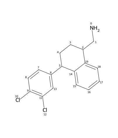 NCC1CCC(c2ccc(Cl)c(Cl)c2)c2ccccc21